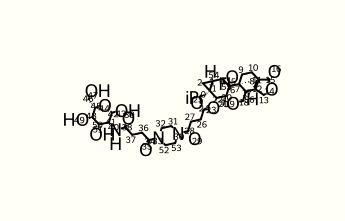 CC(C)[C@]12C[C@H]1[C@@H]1O[C@@]13[C@@]1(C)CCC4=C(COC4=O)[C@@H]1CO[C@]3(C)[C@@H]2OC(=O)CCC(=O)N1CCN(C(=O)CCC(=O)N[C@@H]2C(O)O[C@@H](CO)[C@H](O)[C@H]2O)CC1